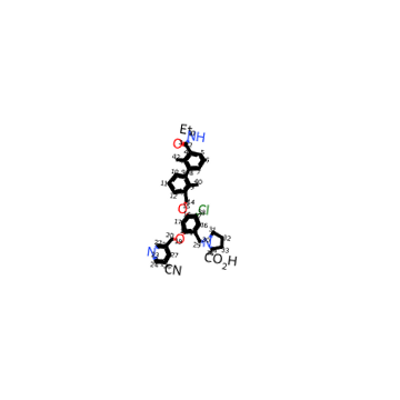 CCNC(=O)c1cccc(-c2cccc(COc3cc(OCc4cncc(C#N)c4)c(CN4CCC[C@H]4C(=O)O)cc3Cl)c2C)c1C